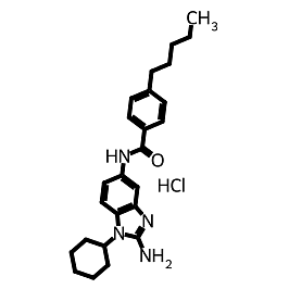 CCCCCc1ccc(C(=O)Nc2ccc3c(c2)nc(N)n3C2CCCCC2)cc1.Cl